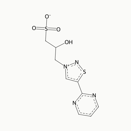 O=S(=O)([O-])CC(O)C[n+]1cc(-c2ncccn2)sn1